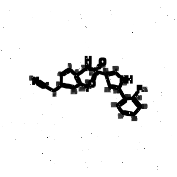 N#CCc1ccc(NS(=O)(=O)c2c[nH]c(-c3ccccc3F)c2)c(F)c1